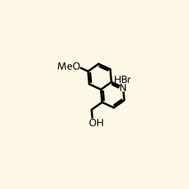 Br.COc1ccc2nccc(CO)c2c1